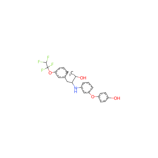 Oc1ccc(Oc2cccc(NC(Cc3cccc(OC(F)(F)C(F)F)c3)C(O)C(F)(F)F)c2)cc1